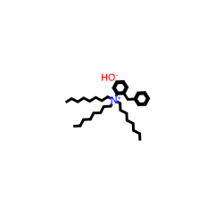 CCCCCCCC[N+](CCCCCCCC)(CCCCCCCC)c1ccccc1Cc1ccccc1.[OH-]